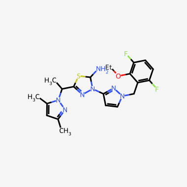 CCOc1c(F)ccc(F)c1Cn1ccc(N2N=C(C(C)n3nc(C)cc3C)SC2N)n1